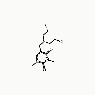 Cn1cc(CN(CCCl)CCCl)c(=O)n(C)c1=O